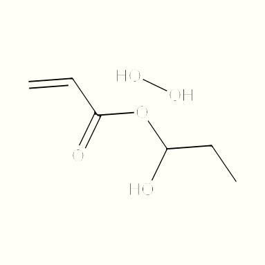 C=CC(=O)OC(O)CC.OO